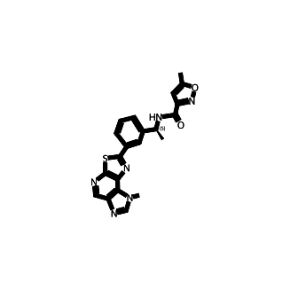 Cc1cc(C(=O)N[C@@H](C)c2cccc(-c3nc4c(ncc5ncn(C)c54)s3)c2)no1